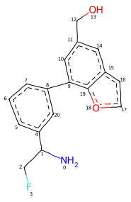 NC(CF)c1cccc(-c2cc(CO)cc3ccoc23)c1